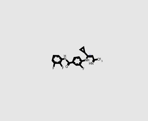 N=C(/C=C(\Nc1ccc(C(=O)Nc2cccc(F)c2F)cc1F)C1CC1)C(F)(F)F